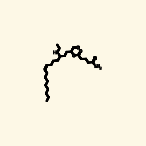 CCCCCCCC/C=C\CCCC(CCC(C=O)OC(=O)CCCC(N)=O)NCC